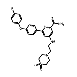 NC(=O)c1cc(NCCN2CCS(=O)(=O)CC2)cc(-c2ccc(Oc3ccc(F)cc3)cc2)n1